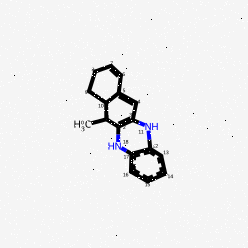 CC1C2=C(C=C3C=CCCC31)Nc1ccccc1N2